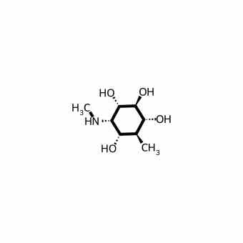 CN[C@@H]1[C@H](O)[C@@H](O)[C@H](O)[C@@H](C)[C@@H]1O